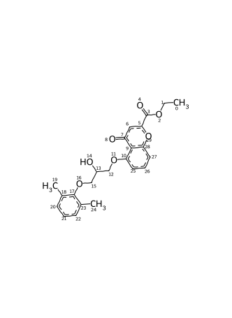 CCOC(=O)c1cc(=O)c2c(OCC(O)COc3c(C)cccc3C)cccc2o1